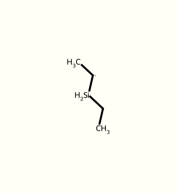 C[CH][SiH2]CC